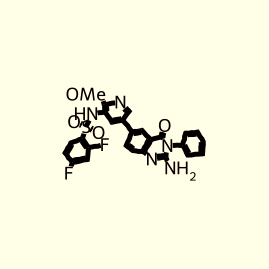 COc1ncc(-c2ccc3nc(N)n(-c4ccccc4)c(=O)c3c2)cc1NS(=O)(=O)c1ccc(F)cc1F